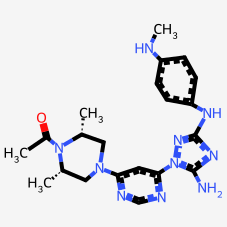 CNc1ccc(Nc2nc(N)n(-c3cc(N4C[C@@H](C)N(C(C)=O)[C@@H](C)C4)ncn3)n2)cc1